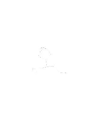 CCO[C@@](C)([PH2]=O)c1cs[c]n1